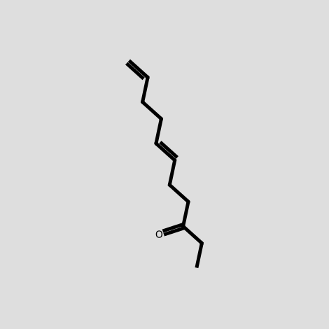 C=CCCC=CCCC(=O)CC